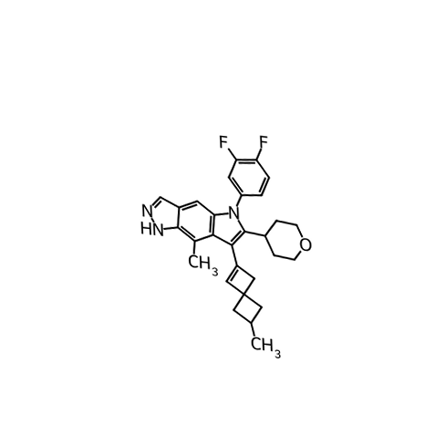 Cc1c2[nH]ncc2cc2c1c(C1=CC3(C1)CC(C)C3)c(C1CCOCC1)n2-c1ccc(F)c(F)c1